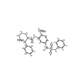 COc1ccc(N(C)S(=O)(=O)Cc2ccccc2)cc1CNC1CCCNC1c1ccccc1